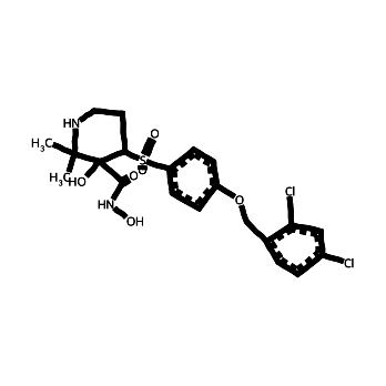 CC1(C)NCCC(S(=O)(=O)c2ccc(OCc3ccc(Cl)cc3Cl)cc2)C1(O)C(=O)NO